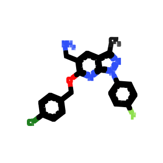 NCc1cc2c(C(F)(F)F)nn(-c3ccc(F)cc3)c2nc1OCc1ccc(Cl)cc1